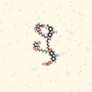 O=C(CCCCCN1/C(=C/C=C/C=C/c2oc3cc4[nH]c5ccc(S(=O)(=O)O)cc5c4cc3[n+]2CCCCCC(=O)ON2C(=O)CCC2=O)Oc2cc3[nH]c4ccc(SOOO)cc4c3cc21)ON1C(=O)CCC1=O